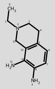 CCN1CCc2ccc(N)c(N)c2C1